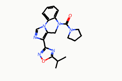 CC(C)c1nc(-c2ncn3c2CN(C(=O)N2CCCC2)c2ccccc2-3)no1